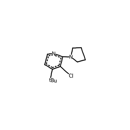 CC(C)(C)c1ccnc(N2CCCC2)c1Cl